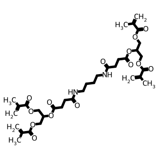 C=C(C)C(=O)OCC(COC(=O)C(=C)C)OC(=O)CCC(=O)NCCCCNC(=O)CCC(=O)OC(COC(=O)C(=C)C)COC(=O)C(=C)C